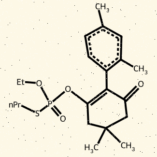 CCCSP(=O)(OCC)OC1=C(c2ccc(C)cc2C)C(=O)CC(C)(C)C1